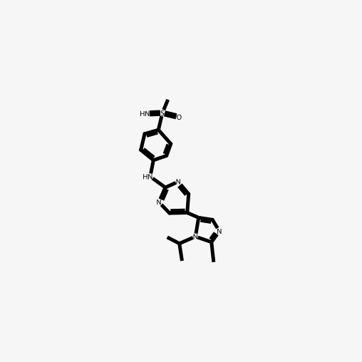 Cc1ncc(-c2cnc(Nc3ccc(S(C)(=N)=O)cc3)nc2)n1C(C)C